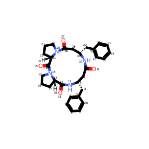 O=C1C[C@H](Cc2ccccc2)NC(=O)[C@@H]2CCCN2C(=O)[C@@H]2CCCN2C(=O)C[C@H](Cc2ccccc2)N1